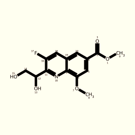 COC(=O)c1cc(OC)c2nc(C(O)CO)c(F)cc2c1